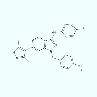 COc1ccc(Cn2nc(Nc3ccc(F)cc3)c3ccc(-c4c(C)noc4C)cc32)cc1